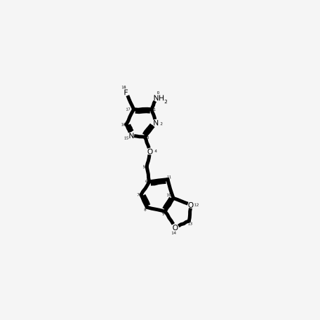 Nc1nc(OCc2ccc3c(c2)OCO3)ncc1F